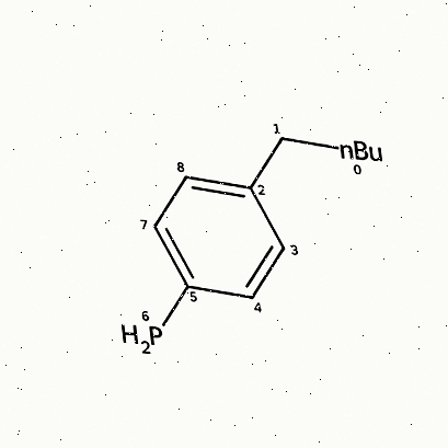 CCCCCc1ccc(P)cc1